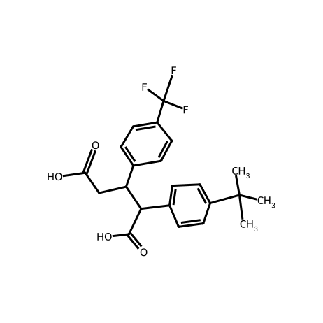 CC(C)(C)c1ccc(C(C(=O)O)C(CC(=O)O)c2ccc(C(F)(F)F)cc2)cc1